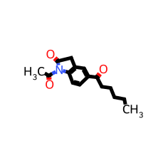 CCCCCC(=O)c1ccc2c(c1)CC(=O)N2C(C)=O